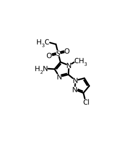 CCS(=O)(=O)c1c(N)nc(-n2ccc(Cl)n2)n1C